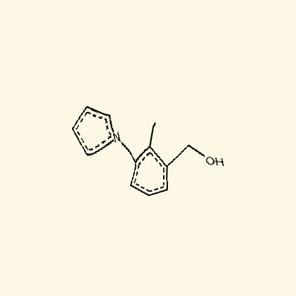 Cc1c(CO)cccc1-n1cccc1